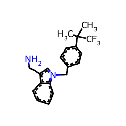 CC(C)(c1ccc(Cn2cc(CN)c3ccccc32)cc1)C(F)(F)F